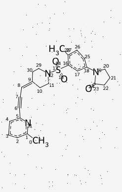 Cc1cccc(C#CC=C2CCN(S(=O)(=O)c3cc(N4CCCC4=O)ccc3C)CC2)n1